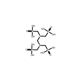 O=P(O)(O)CN(CN(CP(=O)(O)O)CP(=O)(O)O)CP(=O)(O)O